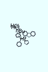 CCCCc1ccc(/[C](c2ccccc2)=[Hf](/[C]2=CC=CC2)[c]2cccc3c2Cc2ccccc2-3)s1.Cl.Cl